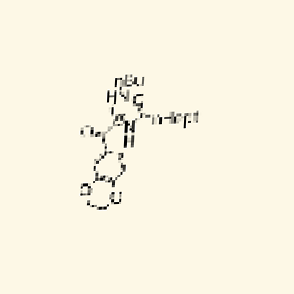 CCCCCCCC(=O)N[C@H](CNCCCC)C(=O)c1ccc2c(c1)OCCO2